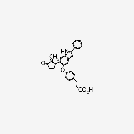 CN1C(=O)CCC1c1cc2[nH]c(-c3ccccc3)cc2cc1Oc1ccc(CCC(=O)O)cc1